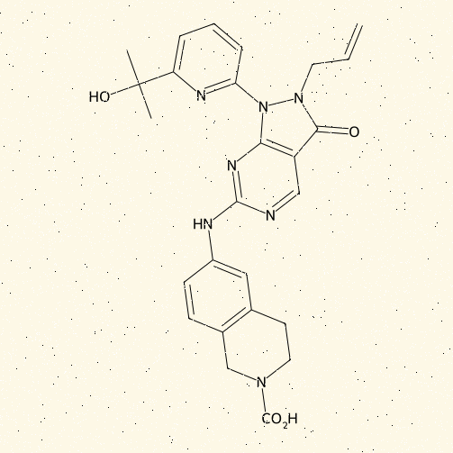 C=CCn1c(=O)c2cnc(Nc3ccc4c(c3)CCN(C(=O)O)C4)nc2n1-c1cccc(C(C)(C)O)n1